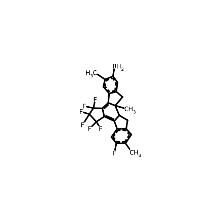 Bc1cc2c(cc1C)C1=C3C(=C4c5cc(F)c(C)cc5CC4C1(C)C2)C(F)(F)C(F)(F)C3(F)F